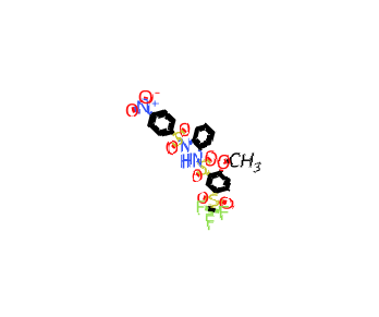 COc1ccc(S(=O)(=O)C(F)(F)F)cc1S(=O)(=O)Nc1ccccc1NS(=O)(=O)c1ccc([N+](=O)[O-])cc1